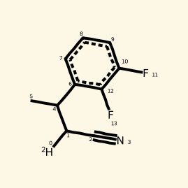 [2H]C(C#N)C(C)c1cccc(F)c1F